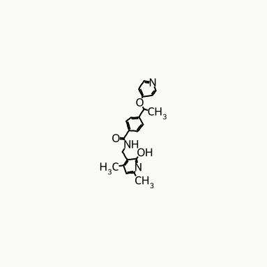 Cc1cc(C)c(CNC(=O)c2ccc(C(C)Oc3ccncc3)cc2)c(O)n1